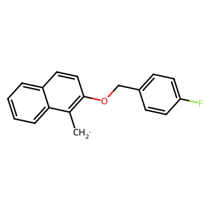 [CH2]c1c(OCc2ccc(F)cc2)ccc2ccccc12